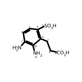 Nc1ccc(S(=O)(=O)O)c(CCC(=O)O)c1N